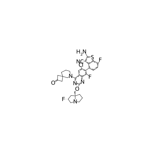 N#Cc1c(N)sc2c(F)ccc(-c3c(Cl)cc4c(N5CCCC6(CC(=O)C6)C5)nc(OC[C@@]56CCCN5C[C@H](F)C6)nc4c3F)c12